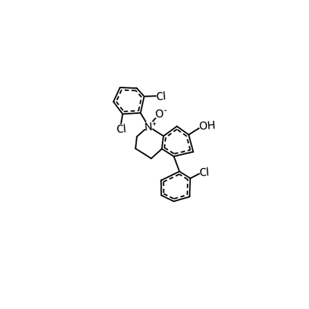 [O-][N+]1(c2c(Cl)cccc2Cl)CCCc2c(-c3ccccc3Cl)cc(O)cc21